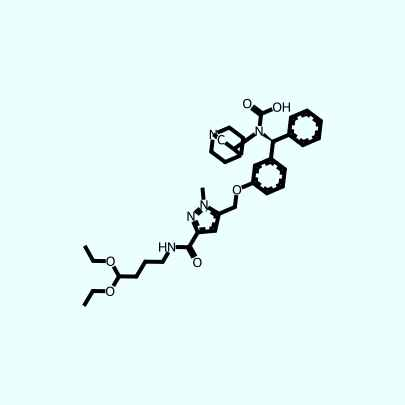 CCOC(CCCNC(=O)c1cc(COc2cccc([C@H](c3ccccc3)N(C(=O)O)C3CN4CCC3CC4)c2)n(C)n1)OCC